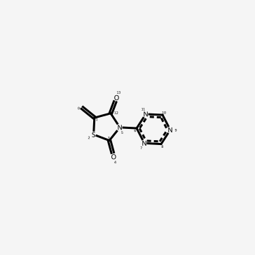 C=C1SC(=O)N(c2ncncn2)C1=O